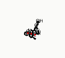 C#Cc1ccc(C(=O)N2C3CC2CN(c2ccc(-c4cc(OCC(C)(C)O)cn5ncc(C#N)c45)cn2)C3)cc1F